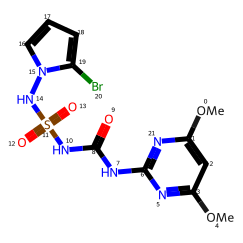 COc1cc(OC)nc(NC(=O)NS(=O)(=O)Nn2cccc2Br)n1